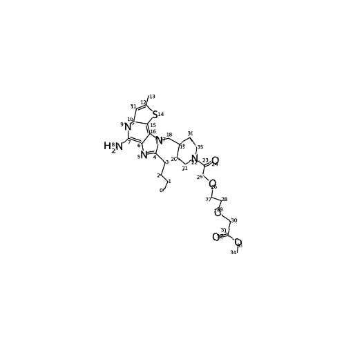 CCCCc1nc2c(N)nc3cc(C)sc3c2n1CC1CCN(C(=O)COCCOCC(=O)OC)CC1